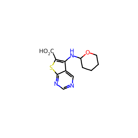 O=C(O)c1sc2ncncc2c1NC1CCCCO1